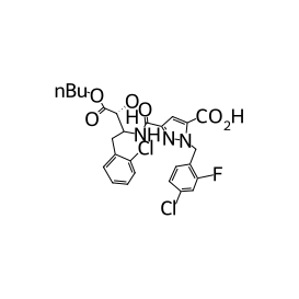 CCCCOC(=O)[C@H](O)C(Cc1ccccc1Cl)NC(=O)c1cc(C(=O)O)n(Cc2ccc(Cl)cc2F)n1